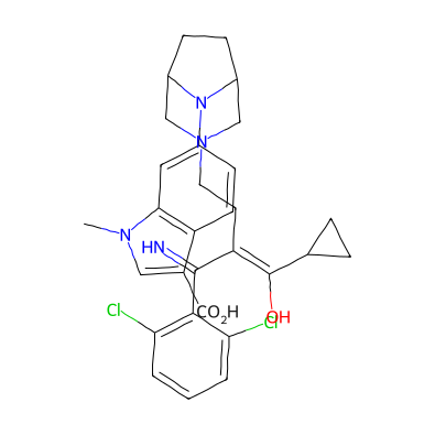 Cn1cc(C(=O)O)c2ccc(N3C4CCC3CN(CC/C(C(=N)c3c(Cl)cccc3Cl)=C(/O)C3CC3)C4)cc21